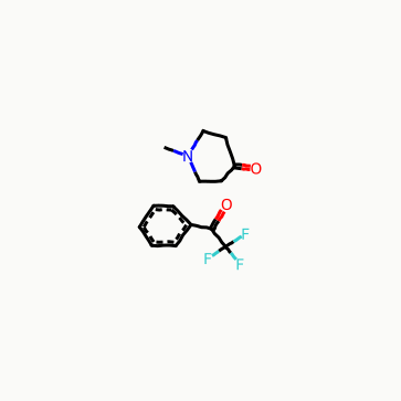 CN1CCC(=O)CC1.O=C(c1ccccc1)C(F)(F)F